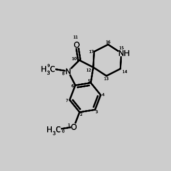 COc1ccc2c(c1)N(C)C(=O)C21CCNCC1